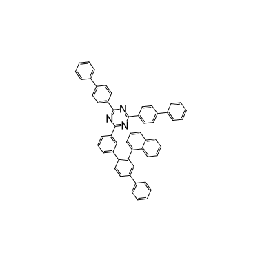 c1ccc(-c2ccc(-c3nc(-c4ccc(-c5ccccc5)cc4)nc(-c4cccc(-c5ccc(-c6ccccc6)cc5-c5cccc6ccccc56)c4)n3)cc2)cc1